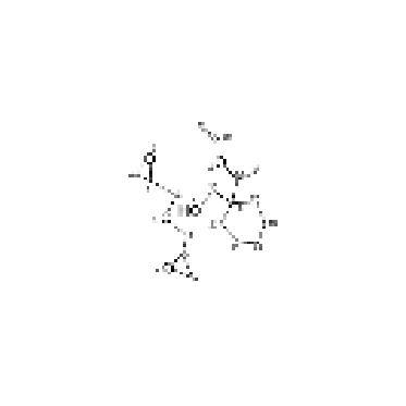 C(OCC1CO1)C1CO1.C=COC(C)C1(CO)CCCCC1